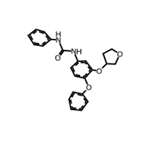 O=C(Nc1ccccc1)Nc1ccc(Oc2ccccc2)c(OC2CCOC2)c1